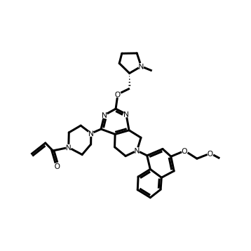 C=CC(=O)N1CCN(c2nc(OC[C@@H]3CCCN3C)nc3c2CCN(c2cc(OCOC)cc4ccccc24)C3)CC1